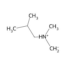 [CH2-][NH+](C)CC(C)C